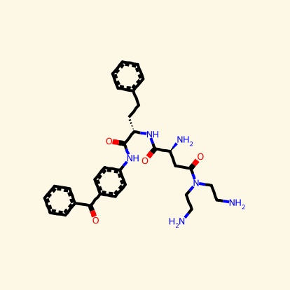 NCCN(CCN)C(=O)C[C@H](N)C(=O)N[C@@H](CCc1ccccc1)C(=O)Nc1ccc(C(=O)c2ccccc2)cc1